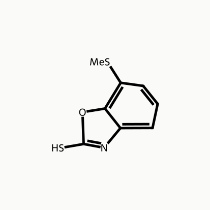 CSc1cccc2nc(S)oc12